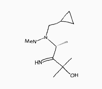 CNN(CC1CC1)[C@H](C)C(=N)C(C)(C)O